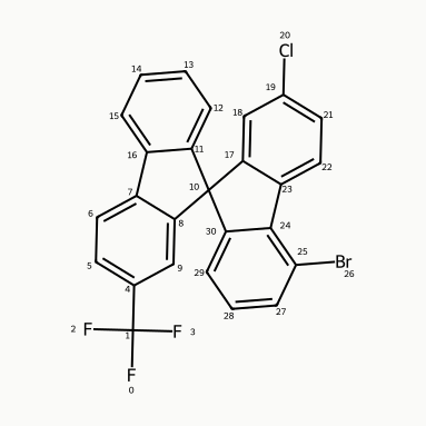 FC(F)(F)c1ccc2c(c1)C1(c3ccccc3-2)c2cc(Cl)ccc2-c2c(Br)cccc21